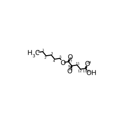 CCCCCCOC(=O)C(=O)CCC(=O)O